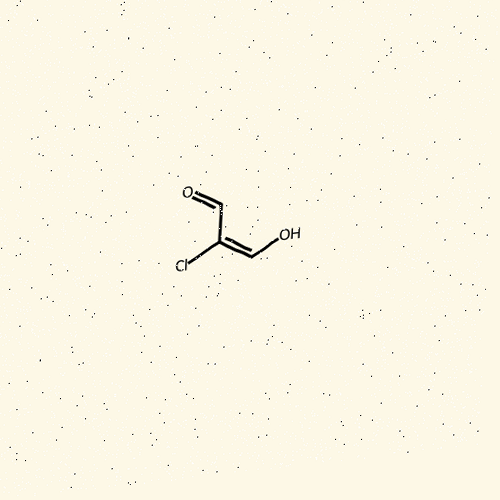 O=C/C(Cl)=C\O